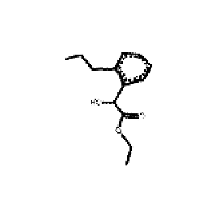 CCCc1ccccc1C(O)C(=O)OCC